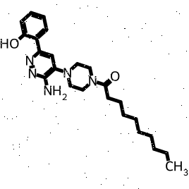 CCCCCCCCCC(=O)N1CCN(c2cc(-c3ccccc3O)nnc2N)CC1